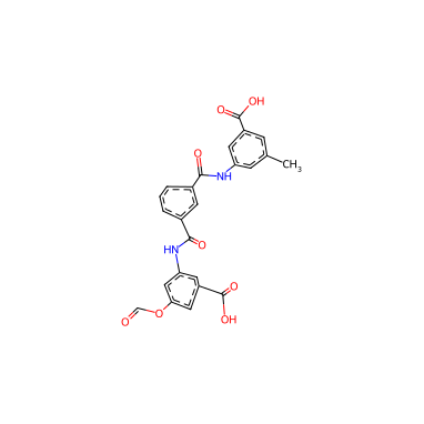 Cc1cc(NC(=O)c2cccc(C(=O)Nc3cc(OC=O)cc(C(=O)O)c3)c2)cc(C(=O)O)c1